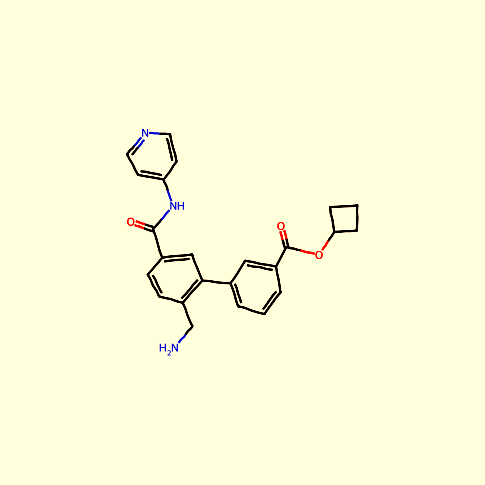 NCc1ccc(C(=O)Nc2ccncc2)cc1-c1cccc(C(=O)OC2CCC2)c1